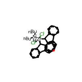 CCCC[SiH](CCCC)[Zr]([Cl])([Cl])([CH]1c2ccccc2-c2ccccc21)[CH]1c2ccccc2-c2ccccc21